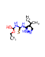 CCOC(O)NC(=S)Nc1[nH]ncc1C(C)C